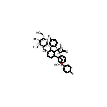 O=C1N[C@@](c2ccc(F)cc2)(c2c(O[C@H]3O[C@@H](CO)[C@H](O)[C@@H](O)[C@@H]3O)cccc2-c2ccccc2)[C@H]1CC[C@H](O)c1ccc(F)cc1